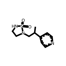 CC(CN1CCNS1(=O)=O)c1ccncc1